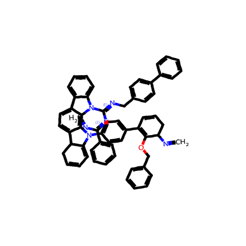 C=N/C(=N\C(=N/Cc1ccc(-c2ccccc2)cc1)n1c2ccccc2c2ccc3c(c21)N(c1ccc(C2=C(OCc4ccccc4)C(N=C)CC=C2)cc1)C1=CC=CCC13)c1ccccc1